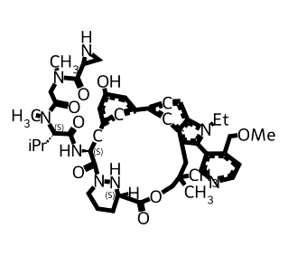 CCn1c(-c2cnccc2COC)c2c3cc(ccc31)-c1cc(O)cc(c1)C[C@H](NC(=O)[C@H](C(C)C)N(C)C(=O)CN(C)C(=O)C1CN1)C(=O)N1CCC[C@H](N1)C(=O)OCC(C)(C)C2